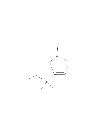 CC(=O)OCC(C)(O)c1csc(N)n1